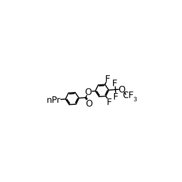 CCCc1ccc(C(=O)Oc2cc(F)c(C(F)(F)OC(F)(F)F)c(F)c2)cc1